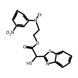 CCN(CCOC(=O)C(S)c1nc2ccccc2s1)c1cccc([N+](=O)[O-])c1